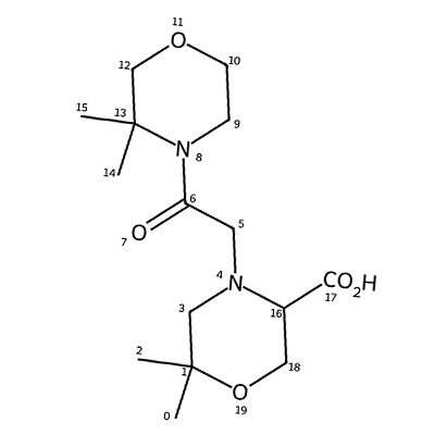 CC1(C)CN(CC(=O)N2CCOCC2(C)C)C(C(=O)O)CO1